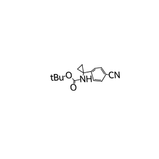 CC(C)(C)OC(=O)NC1(c2ccc(C#N)cc2)CC1